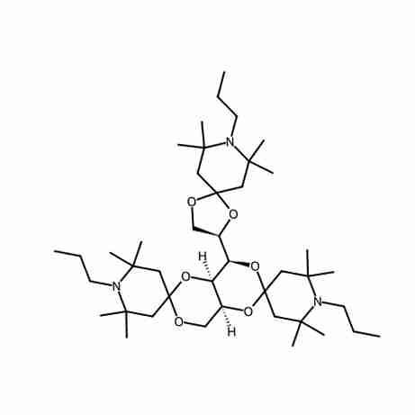 CCCN1C(C)(C)CC2(CC1(C)C)OC[C@@H]1OC3(CC(C)(C)N(CCC)C(C)(C)C3)O[C@H]([C@H]3COC4(CC(C)(C)N(CCC)C(C)(C)C4)O3)[C@@H]1O2